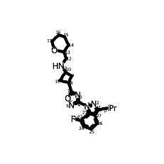 CC(C)c1nn(-c2noc(C3CC(NCC4CCCCO4)C3)n2)c2c(F)cccc12